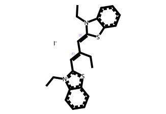 CCC(/C=C1\Sc2ccccc2N1CC)=C\c1sc2ccccc2[n+]1CC.[I-]